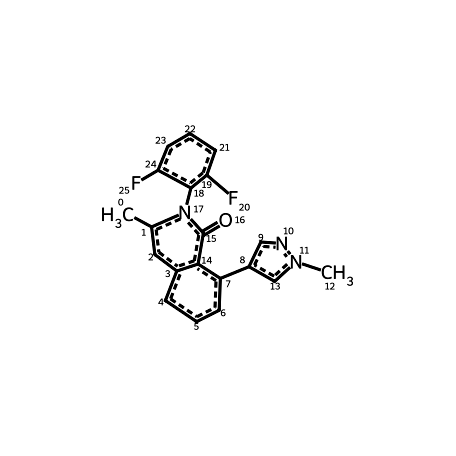 Cc1cc2cccc(-c3cnn(C)c3)c2c(=O)n1-c1c(F)cccc1F